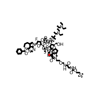 CC(=O)N1CCC[C@@H]1CO[P@@](=S)(OC[C@H]1O[C@@H](n2cc3c4c(ncnc42)N(C(=O)c2ccccc2)CCC3)[C@H](F)[C@@H]1OP(=O)(O)O)O[C@@H]1[C@H](O[Si](C)(C)C(C)(C)C)[C@@H](CO)O[C@H]1n1cnc2c(=O)n(CCOCNC(=O)CNC(=O)OCC[Si](C)(C)C)cnc21.CCN(CC)CC.CCN(CC)CC